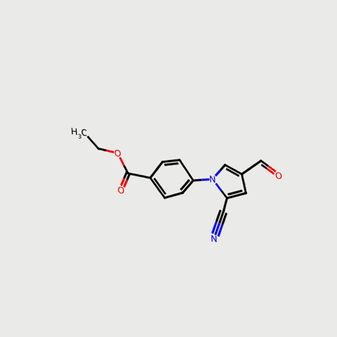 CCOC(=O)c1ccc(-n2cc(C=O)cc2C#N)cc1